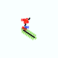 CCOP(=O)(O)OCCNS(=O)(=O)C(F)(F)C(F)(F)C(F)(F)C(F)(F)C(F)(F)C(F)(F)C(F)(F)C(F)(F)F